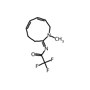 CN1C/C=C\C=C/CCC1=NC(=O)C(F)(F)F